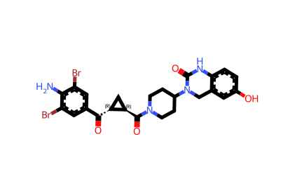 Nc1c(Br)cc(C(=O)[C@@H]2C[C@H]2C(=O)N2CCC(N3Cc4cc(O)ccc4NC3=O)CC2)cc1Br